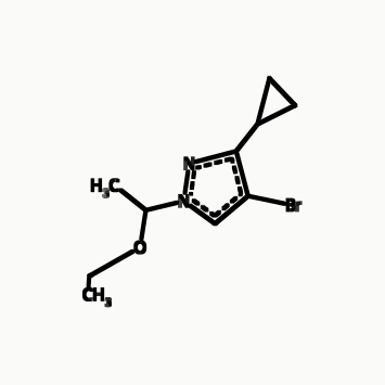 CCOC(C)n1cc(Br)c(C2CC2)n1